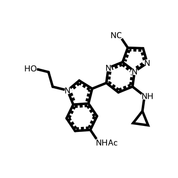 CC(=O)Nc1ccc2c(c1)c(-c1cc(NC3CC3)n3ncc(C#N)c3n1)cn2CCO